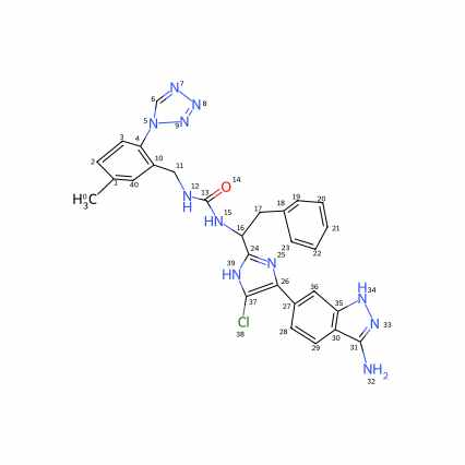 Cc1ccc(-n2cnnn2)c(CNC(=O)NC(Cc2ccccc2)c2nc(-c3ccc4c(N)n[nH]c4c3)c(Cl)[nH]2)c1